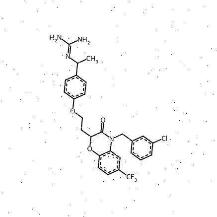 CC(N=C(N)N)c1ccc(OCCC2Oc3ccc(C(F)(F)F)cc3N(Cc3cccc(Cl)c3)C2=O)cc1